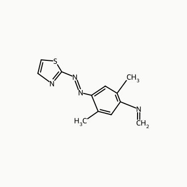 C=Nc1cc(C)c(/N=N/c2nccs2)cc1C